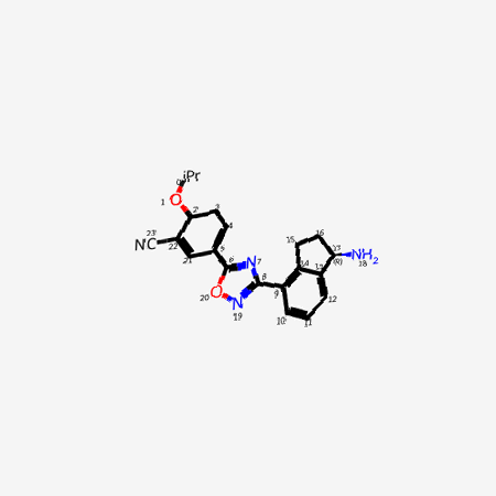 CC(C)OC1CC=C(c2nc(-c3cccc4c3CC[C@H]4N)no2)C=C1C#N